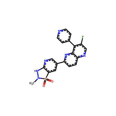 CN1Nc2ncc(-c3ccc4ncc(F)c(-c5ccncc5)c4n3)cc2S1(=O)=O